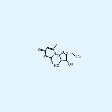 CC(=O)OC[C@H]1O[C@@H](n2c(I)cc(=O)[nH]c2=O)C(O)C1O